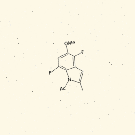 COc1cc(F)c2c(cc(C)n2C(C)=O)c1F